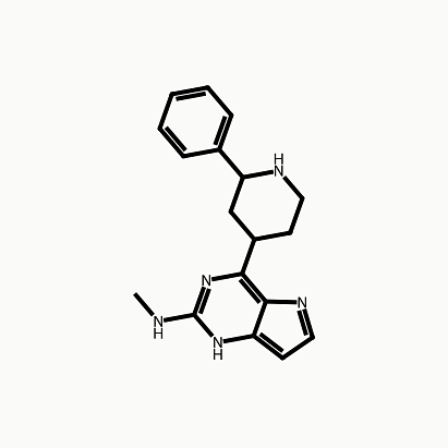 CNc1nc(C2CCNC(c3ccccc3)C2)c2nccc-2[nH]1